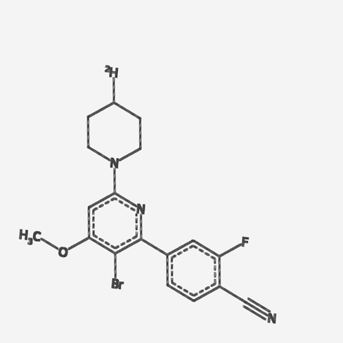 [2H]C1CCN(c2cc(OC)c(Br)c(-c3ccc(C#N)c(F)c3)n2)CC1